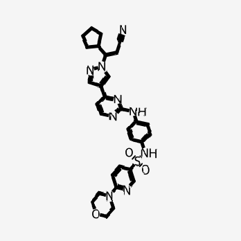 N#CCC(C1CCCC1)n1cc(-c2ccnc(Nc3ccc(NS(=O)(=O)c4ccc(N5CCOCC5)nc4)cc3)n2)cn1